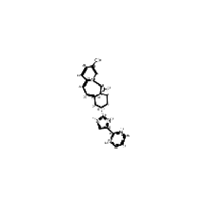 ClC1=CN2C[C@H]3CC[C@H](c4nc(-c5ncccn5)cs4)CC3=CC=C2C=C1